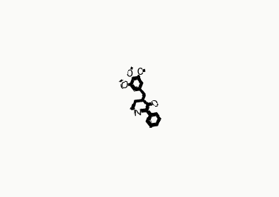 COc1cc(CC2CCN=C(c3ccccc3)C2=O)cc(OC)c1OC